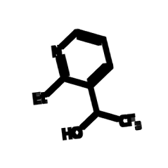 CCc1ncccc1C(O)C(F)(F)F